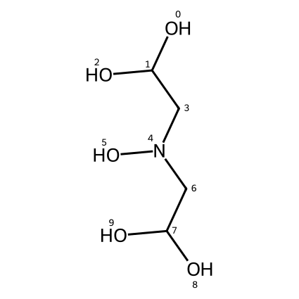 OC(O)CN(O)CC(O)O